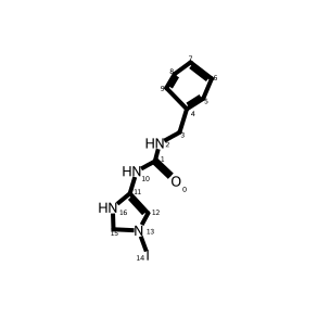 O=C(NCc1ccccc1)NC1=CN(I)CN1